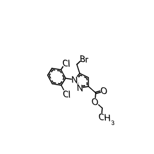 CCOC(=O)c1cc(CBr)n(-c2c(Cl)cccc2Cl)n1